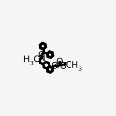 CCOC(=O)COc1cccc2c1CCC(CC(C)=NOC(c1ccccc1)c1ccccc1)C2